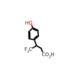 O=C(O)CC(c1ccc(O)cc1)C(F)(F)F